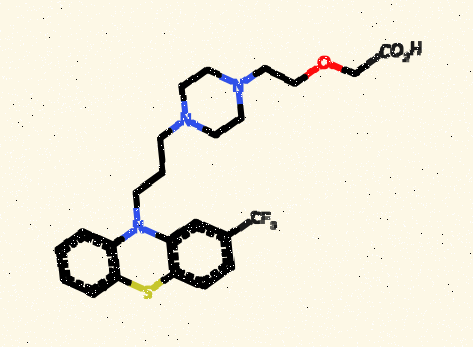 O=C(O)COCCN1CCN(CCCN2c3ccccc3Sc3ccc(C(F)(F)F)cc32)CC1